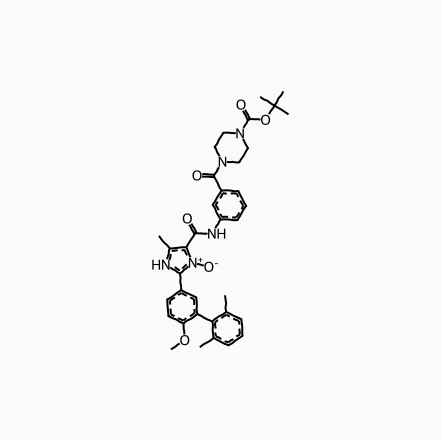 COc1ccc(-c2[nH]c(C)c(C(=O)Nc3cccc(C(=O)N4CCN(C(=O)OC(C)(C)C)CC4)c3)[n+]2[O-])cc1-c1c(C)cccc1C